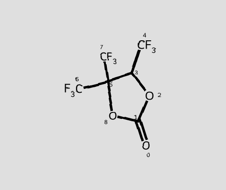 O=C1OC(C(F)(F)F)C(C(F)(F)F)(C(F)(F)F)O1